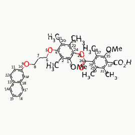 COc1c(C)c(OCCCOc2ccc3ccccc3c2)c(C)c(C)c1OC(=O)c1c(C)c(C)c(C(=O)O)c(OC)c1C